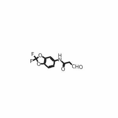 O=CCC(=O)Nc1ccc2c(c1)OC(F)(F)O2